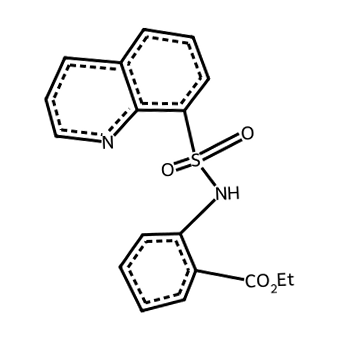 CCOC(=O)c1ccccc1NS(=O)(=O)c1cccc2cccnc12